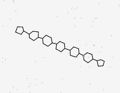 C1CCC(C2CCC(C3CCC(C4CCC(C5CCC(N6CCC(C7CCCC7)CC6)CC5)CC4)CC3)CC2)C1